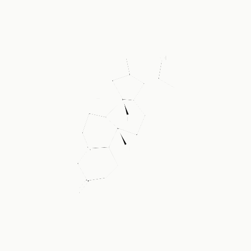 CC(O)[C@H]1C(C)C[C@H]2[C@@H]3CCN4CC(=O)CC[C@]4(C)[C@H]3CC[C@]12C